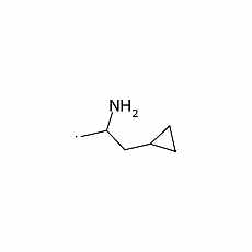 [CH2]C(N)CC1CC1